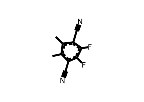 Cc1c(C)c(C#N)c(F)c(F)c1C#N